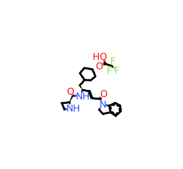 O=C(N[C@H](/C=C/C(=O)N1CCc2ccccc21)CC1CCCCC1)[C@@H]1CCN1.O=C(O)C(F)(F)F